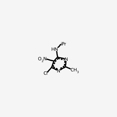 Cc1nc(Cl)c([N+](=O)[O-])c(NC(C)C)n1